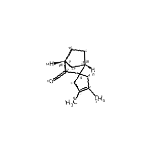 CC1=C(C)CC2(C1)C(=O)[C@@H]1CC[C@H]2C1